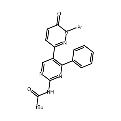 CC(C)n1nc(-c2cnc(NC(=O)C(C)(C)C)nc2-c2ccccc2)ccc1=O